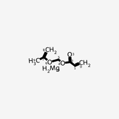 C=CC(=O)OCOC(=C)C.[MgH2]